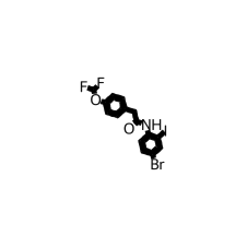 O=C(Cc1ccc(OC(F)F)cc1)Nc1ccc(Br)cc1I